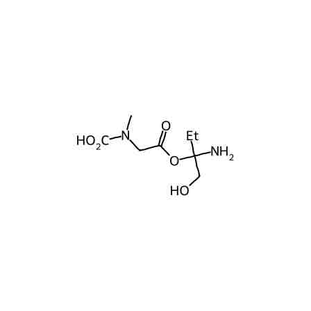 CCC(N)(CO)OC(=O)CN(C)C(=O)O